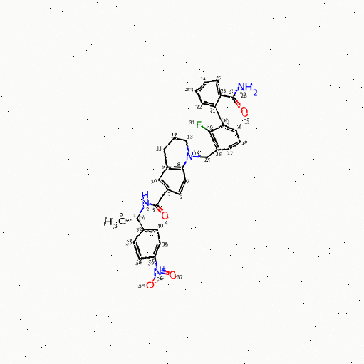 C[C@H](NC(=O)c1ccc2c(c1)CCCN2Cc1cccc(-c2ccccc2C(N)=O)c1F)c1ccc([N+](=O)[O-])cc1